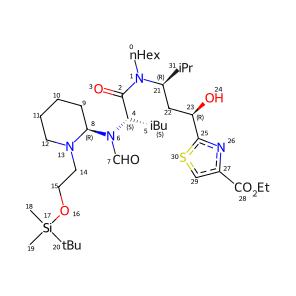 CCCCCCN(C(=O)[C@H]([C@@H](C)CC)N(C=O)[C@@H]1CCCCN1CCO[Si](C)(C)C(C)(C)C)[C@H](C[C@@H](O)c1nc(C(=O)OCC)cs1)C(C)C